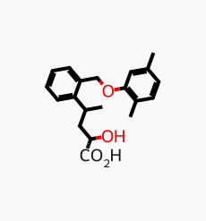 Cc1ccc(C)c(OCc2ccccc2C(C)CC(O)C(=O)O)c1